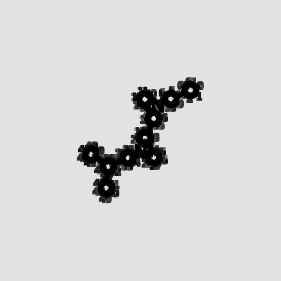 c1ccc(-c2ccc(-n3c4ccccc4c4cc(-c5ccc6c(c5)c5ccccc5n6-c5ccc(-c6cc(-c7ccccc7)cc(-c7ccccc7)c6)cc5)ccc43)cc2)cc1